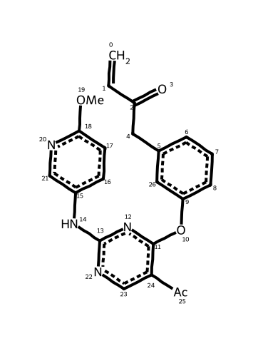 C=CC(=O)Cc1cccc(Oc2nc(Nc3ccc(OC)nc3)ncc2C(C)=O)c1